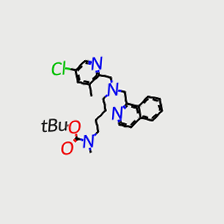 Cc1cc(Cl)cnc1CN(CCCCN(C)C(=O)OC(C)(C)C)Cc1nccc2ccccc12